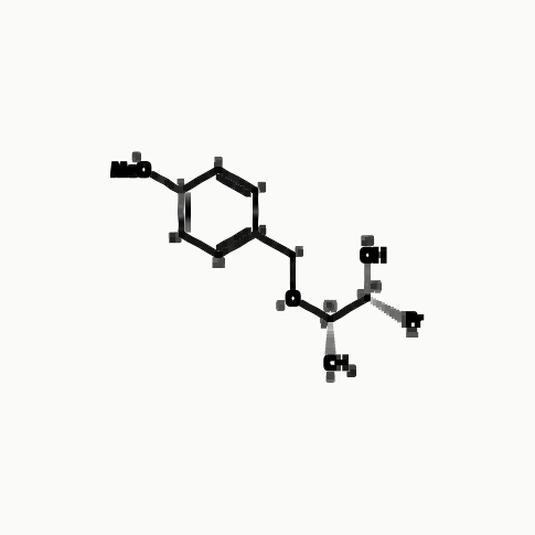 COc1ccc(CO[C@@H](C)[C@H](O)C(C)C)cc1